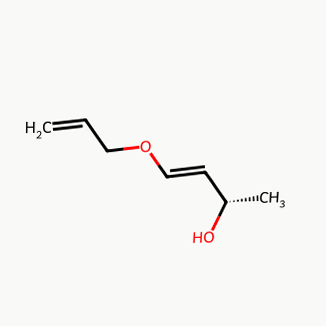 C=CCOC=C[C@H](C)O